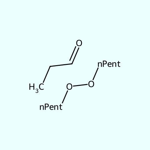 CCC=O.CCCCCOOCCCCC